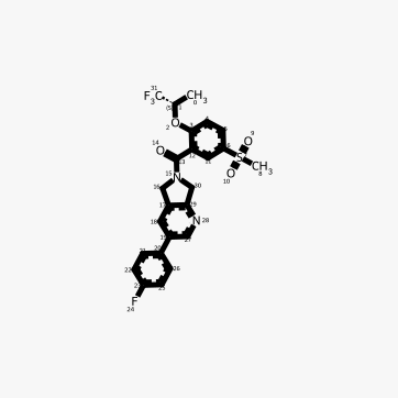 C[C@H](Oc1ccc(S(C)(=O)=O)cc1C(=O)N1Cc2cc(-c3ccc(F)cc3)cnc2C1)C(F)(F)F